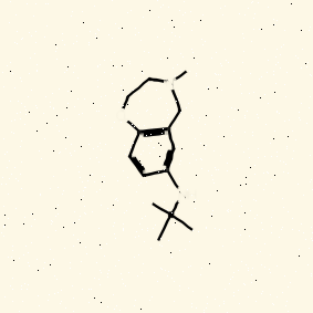 CN1CCOc2ccc(NC(C)(C)C)cc2C1